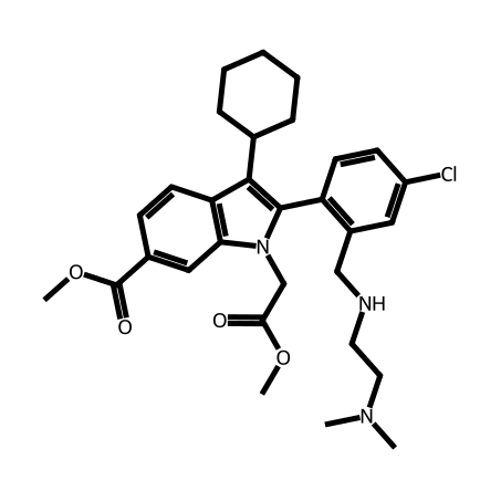 COC(=O)Cn1c(-c2ccc(Cl)cc2CNCCN(C)C)c(C2CCCCC2)c2ccc(C(=O)OC)cc21